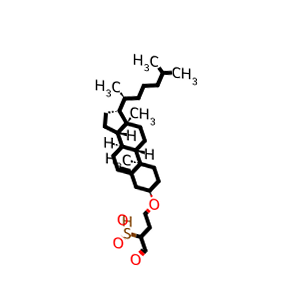 CC(C)CCC[C@@H](C)[C@H]1CC[C@H]2[C@@H]3CC=C4C[C@@H](OCCC(C=O)[SH](=O)=O)CC[C@]4(C)[C@H]3CC[C@]12C